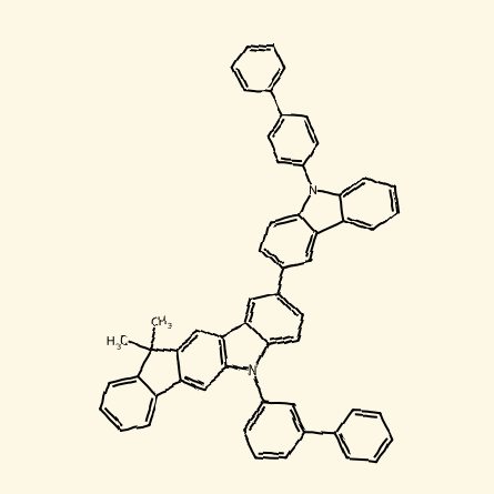 CC1(C)c2ccccc2-c2cc3c(cc21)c1cc(-c2ccc4c(c2)c2ccccc2n4-c2ccc(-c4ccccc4)cc2)ccc1n3-c1cccc(-c2ccccc2)c1